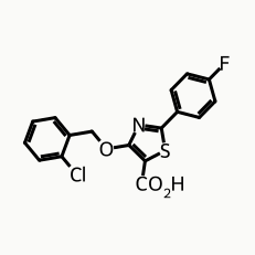 O=C(O)c1sc(-c2ccc(F)cc2)nc1OCc1ccccc1Cl